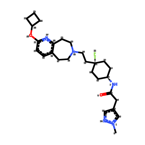 Cn1cc(CC(=O)N[C@H]2CC[C@](F)(CCN3CCc4ccc(OC5CCC5)nc4CC3)CC2)cn1